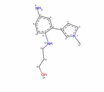 Cn1ccc(-c2cc(N)ccc2NCCCO)c1